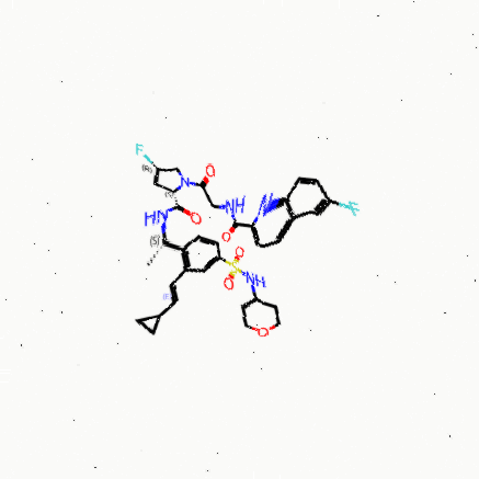 C[C@H](NC(=O)[C@@H]1C[C@@H](F)CN1C(=O)CNC(=O)c1ccc2cc(F)ccc2n1)c1ccc(S(=O)(=O)NC2CCOCC2)cc1/C=C/C1CC1